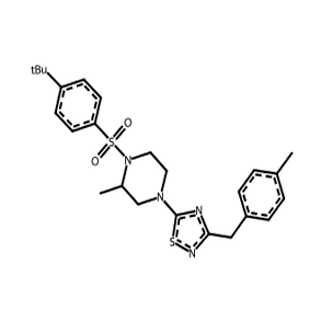 Cc1ccc(Cc2nsc(N3CCN(S(=O)(=O)c4ccc(C(C)(C)C)cc4)C(C)C3)n2)cc1